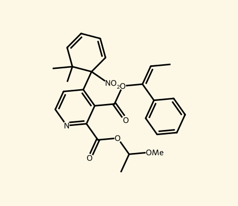 CC=C(OC(=O)c1c(C2([N+](=O)[O-])C=CC=CC2(C)C)ccnc1C(=O)OC(C)OC)c1ccccc1